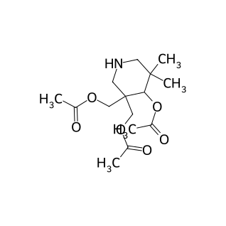 CC(=O)OCC1(COC(C)=O)CNCC(C)(C)C1OC(C)=O